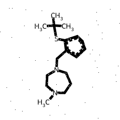 CN1CCCN(Cc2ccccc2SC(C)(C)C)CC1